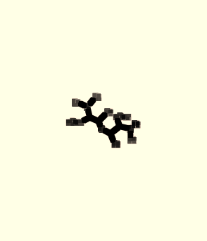 CCCCCCCCCCC(C(CC)OC(CC)C(CCCCCCCCCC)N(CC)CC)N(CC)CC